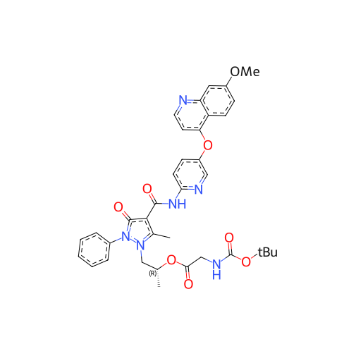 COc1ccc2c(Oc3ccc(NC(=O)c4c(C)n(C[C@@H](C)OC(=O)CNC(=O)OC(C)(C)C)n(-c5ccccc5)c4=O)nc3)ccnc2c1